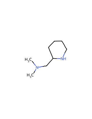 CN(C)CC1CCCCN1